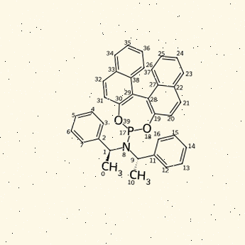 C[C@@H](c1ccccc1)N([C@@H](C)c1ccccc1)p1oc2ccc3ccccc3c2c2c(ccc3ccccc32)o1